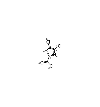 O=C(Cl)c1nc(Cl)c(Cl)o1